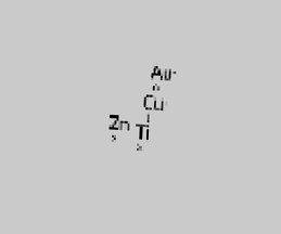 [Au].[Cu].[Ti].[Zn]